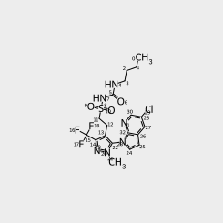 CCCCNC(=O)NS(=O)(=O)CCc1c(C(F)(F)F)nn(C)c1-n1ccc2cc(Cl)cnc21